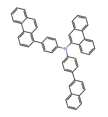 c1ccc2cc(-c3ccc(N(c4ccc(-c5cccc6c5ccc5ccccc56)cc4)c4cc5ccccc5c5ccccc45)cc3)ccc2c1